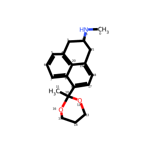 CNC1Cc2cccc3c(C4(C)OCCCO4)ccc(c23)C1